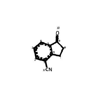 N#Cc1cccc2c1CCC2=O